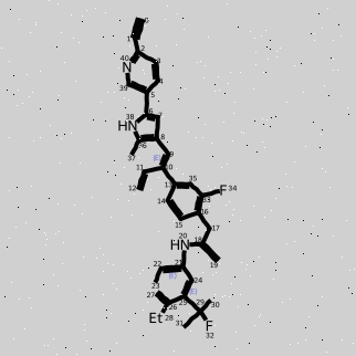 C#Cc1ccc(-c2cc(/C=C(\C=C)c3ccc(CC(=C)NC(=C/C)/C=C(\C(=C)CC)C(C)(C)F)c(F)c3)c(C)[nH]2)cn1